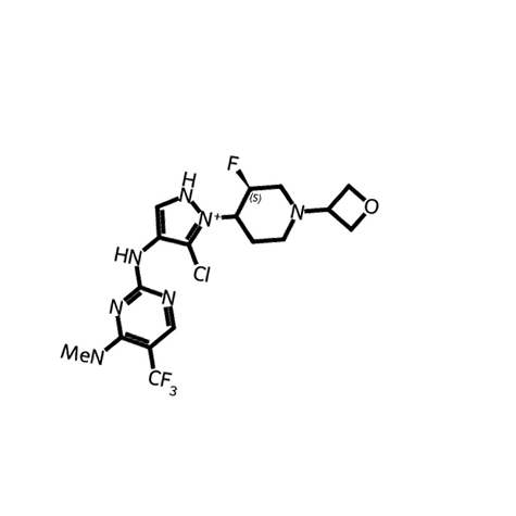 CNc1nc(Nc2c[nH][n+](C3CCN(C4COC4)C[C@@H]3F)c2Cl)ncc1C(F)(F)F